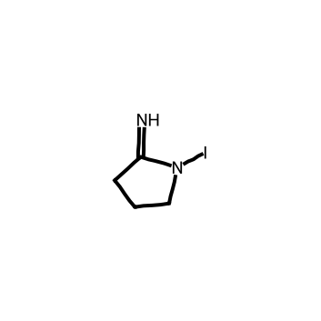 N=C1CCCN1I